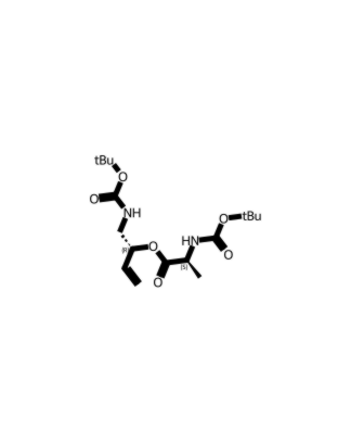 C=C[C@H](CNC(=O)OC(C)(C)C)OC(=O)[C@H](C)NC(=O)OC(C)(C)C